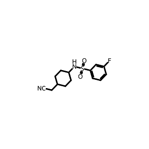 N#CCC1CCC(NS(=O)(=O)c2cccc(F)c2)CC1